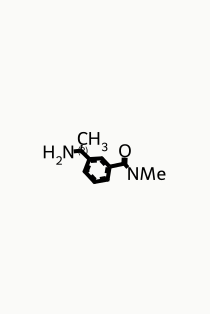 CNC(=O)c1cccc([C@@H](C)N)c1